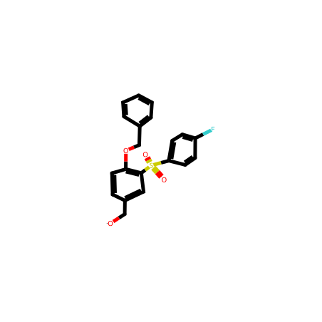 [O]Cc1ccc(OCc2ccccc2)c(S(=O)(=O)c2ccc(F)cc2)c1